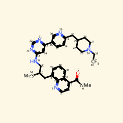 CNC(=O)c1ccnc2c(CC(CNc3cc(-c4ccc(CC5CCN(CC(F)(F)F)CC5)nc4)ncn3)SC)cccc12